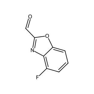 O=Cc1nc2c(F)cccc2o1